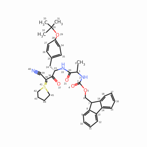 CC(NC(=O)OCC1c2ccccc2-c2ccccc21)C(=O)N[C@@H](Cc1ccc(OC(C)(C)C)cc1)C(=O)C(C#N)=S1CCCC1